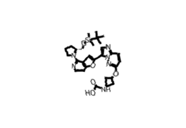 CC(C)(C)[Si](C)(C)OC[C@H]1CCCN1c1nccc2oc(-c3cnc4ccc(OC5CC(NC(=O)O)C5)nn34)cc12